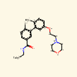 CCOC(=O)CNC(=O)c1ccc(C(C)C)c(-c2cc(OCCN3CCOCC3)ccc2C)c1